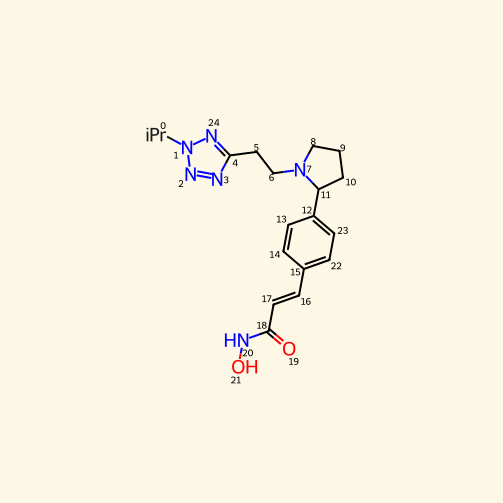 CC(C)n1nnc(CCN2CCCC2c2ccc(C=CC(=O)NO)cc2)n1